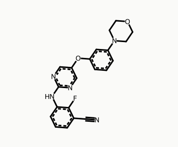 N#Cc1cccc(Nc2ncc(Oc3cccc(N4CCOCC4)c3)cn2)c1F